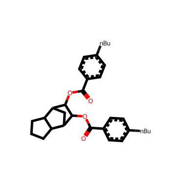 CCCCc1ccc(C(=O)OC2C3CC(C4CCCC43)C2OC(=O)c2ccc(CCCC)cc2)cc1